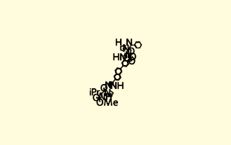 COC(=O)N[C@H](C(=O)N1CCC[C@H]1c1ncc(-c2ccc3cc(-c4ccc5c(c4)NC([C@@H]4CCCN4C(=O)[C@H](N)C4=CCCC=C4)=NS5(=O)=O)ccc3c2)[nH]1)C(C)C